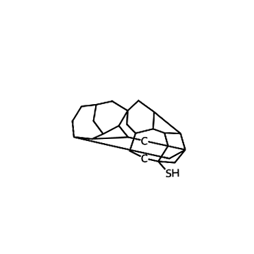 SC12CCC3CC45CC6CCC7CC(CC8C7C(C6)C84)(C1)C1C(C2)C3C1C5